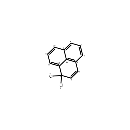 ClC1(Cl)C=Cc2cccc3cccc1c23